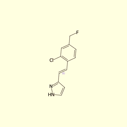 FCc1ccc(/C=C/c2cc[nH]n2)c(Cl)c1